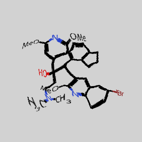 COc1cc(C(O)(CCN(C)C)C(c2cc3cc(Br)ccc3nc2OC)c2cccc3c2CCC3)cc(OC)n1